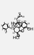 Cc1ccccc1CO[C@@]12CCC(=O)C3Oc4c(O)ccc5c4[C@@]31CCN(CC1CC1)[C@@H]2C5.Cl